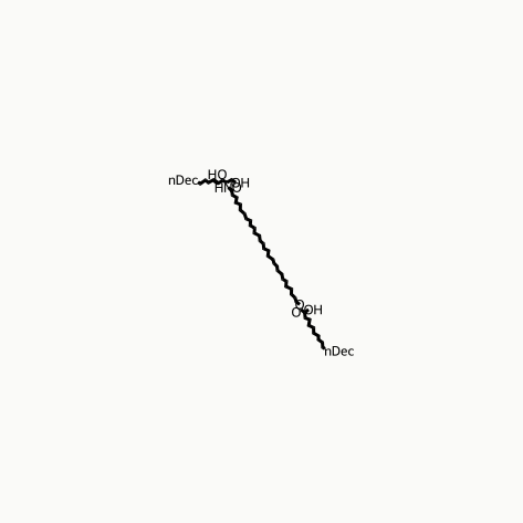 CCCCCCCCCCCCC/C=C/C(O)C(CO)NC(=O)CCCCCCCCCCCCCCCCCCCCCCCCCCCCCOC(=O)C(O)CCCCCCCCCCCCCCCCCCC